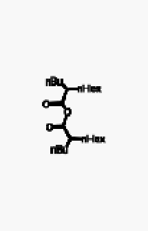 CCCCCCC(CCCC)C(=O)OC(=O)C(CCCC)CCCCCC